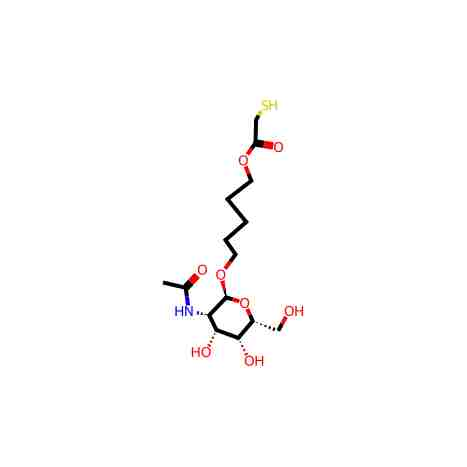 CC(=O)N[C@@H]1[C@@H](OCCCCCOC(=O)CS)O[C@H](CO)[C@H](O)[C@@H]1O